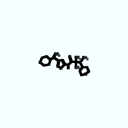 C=C(c1cc(NC(=O)C(C)(C)N(C)C2CCOCC2)on1)C1CCOCC1